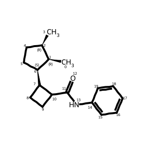 C[C@@H]1[C@H](C)CC[C@@H]1C1CCC1C(=O)Nc1ccccc1